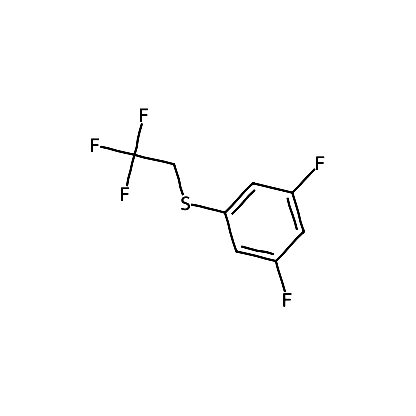 Fc1cc(F)cc(SCC(F)(F)F)c1